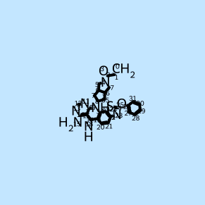 C=CC(=O)N1CC2CC(Nc3ncnc(N)c3C(=N)c3ccc4nc(Oc5ccccc5)sc4c3)CC2C1